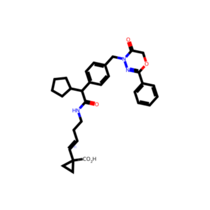 O=C(NCC/C=C/C1(C(=O)O)CC1)C(c1ccc(CN2N=C(c3ccccc3)OCC2=O)cc1)C1CCCC1